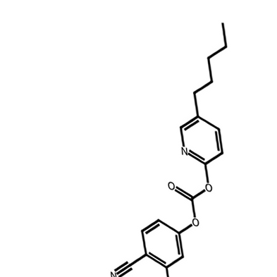 CCCCCc1ccc(OC(=O)Oc2ccc(C#N)c(F)c2)nc1